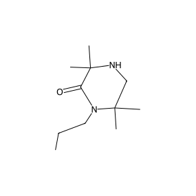 CCCN1C(=O)C(C)(C)NCC1(C)C